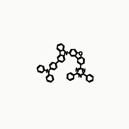 c1ccc(-c2nc(-c3ccccc3)nc(-c3ccc4oc5ccc(-n6c7ccccc7c7cc(-c8ccc(N(c9ccccc9)c9ccccc9)cc8)ccc76)cc5c4c3)n2)cc1